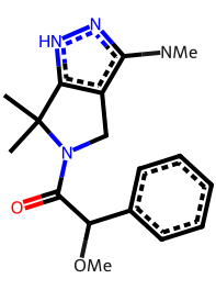 CNc1n[nH]c2c1CN(C(=O)C(OC)c1ccccc1)C2(C)C